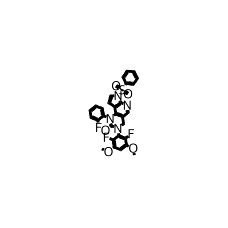 COc1cc(OC)c(F)c(N2Cc3cnc4c(ccn4S(=O)(=O)c4ccccc4)c3N(c3ccccc3F)C2=O)c1F